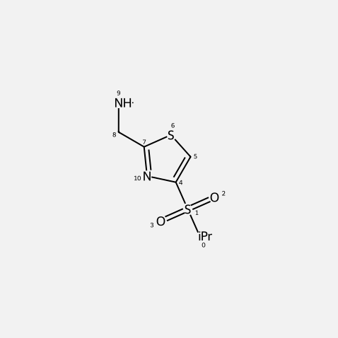 CC(C)S(=O)(=O)c1csc(C[NH])n1